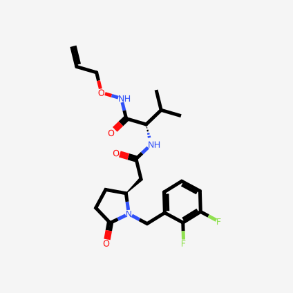 C=CCONC(=O)[C@@H](NC(=O)C[C@@H]1CCC(=O)N1Cc1cccc(F)c1F)C(C)C